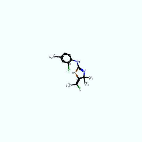 O=[N+]([O-])c1ccc(NC2=NC(C(F)(F)F)(C(F)(F)F)/C(=C(\F)C(F)(F)F)S2)c(Cl)c1